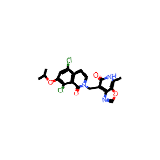 Cc1[nH]c(=O)c(CN2CCc3c(Cl)cc(OC(C)C)c(Cl)c3C2=O)c2ncoc12